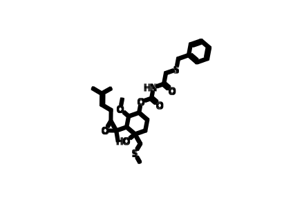 COC1C(OC(=O)NC(=O)CSCc2ccccc2)CCC(O)(CSC)C1C1(C)OC1CC=C(C)C